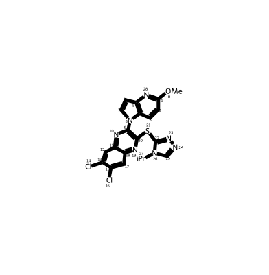 COc1ccc2c(ccn2-c2nc3cc(Cl)c(Cl)cc3nc2Sc2nncn2C(C)C)n1